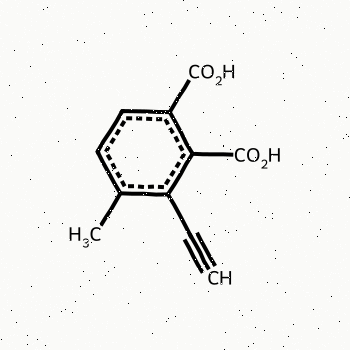 C#Cc1c(C)ccc(C(=O)O)c1C(=O)O